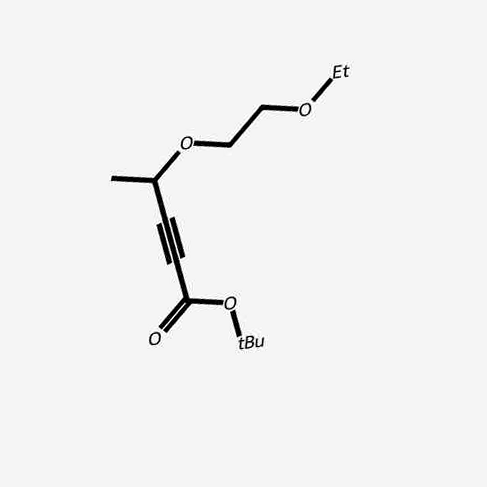 CCOCCOC(C)C#CC(=O)OC(C)(C)C